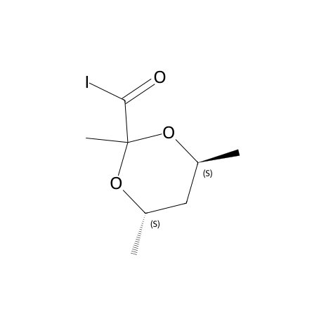 C[C@H]1C[C@H](C)OC(C)(C(=O)I)O1